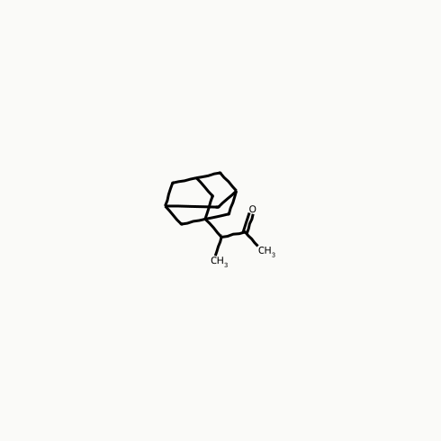 C[C](C(C)=O)C12CC3CC(CC(C3)C1)C2